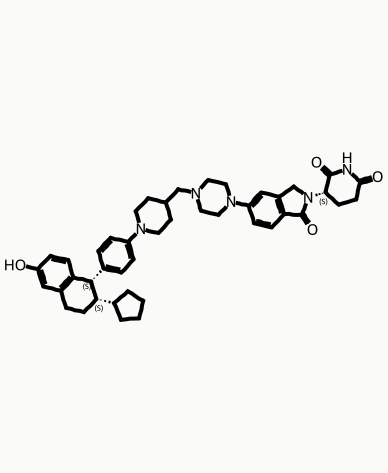 O=C1CC[C@H](N2Cc3cc(N4CCN(CC5CCN(c6ccc([C@H]7c8ccc(O)cc8CC[C@H]7C7CCCC7)cc6)CC5)CC4)ccc3C2=O)C(=O)N1